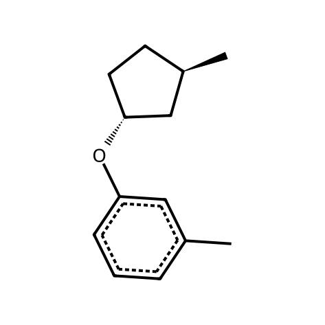 Cc1cccc(O[C@@H]2CC[C@@H](C)C2)c1